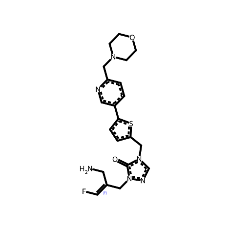 NC/C(=C\F)Cn1ncn(Cc2ccc(-c3ccc(CN4CCOCC4)nc3)s2)c1=O